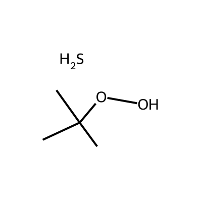 CC(C)(C)OO.S